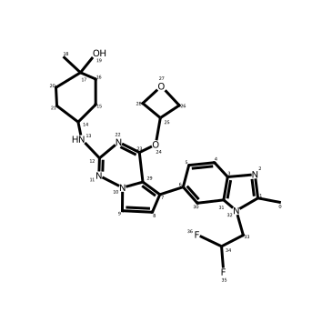 Cc1nc2ccc(-c3ccn4nc(NC5CCC(C)(O)CC5)nc(OC5COC5)c34)cc2n1CC(F)F